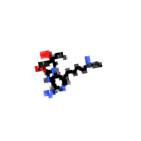 CC(C)(O)Cn1c(O)nc2c(N)ncc(CCCCNC(C)(C)C)c21